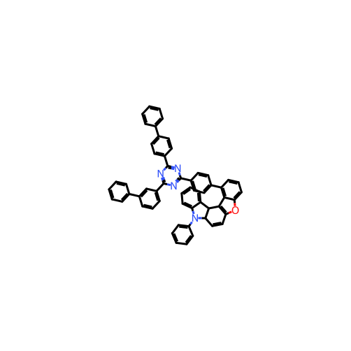 C1=CC2C(c3ccccc3N2c2ccccc2)c2c1oc1cccc(-c3ccc(-c4nc(-c5ccc(-c6ccccc6)cc5)nc(-c5cccc(-c6ccccc6)c5)n4)cc3)c21